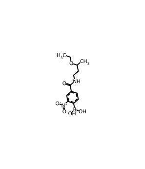 CCOC(C)CCNC(=O)c1ccc(B(O)O)c([N+](=O)[O-])c1